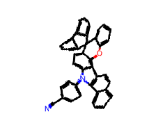 N#Cc1ccc(-n2c3ccc4c(c3c3ccc5ccccc5c32)Oc2ccccc2C42c3ccccc3-c3ccccc32)cc1